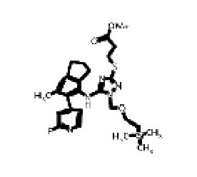 COC(=O)CCSc1nc(Nc2c3c(cc(C)c2-c2ccnc(F)c2)CCC3)n(COCC[Si](C)(C)C)n1